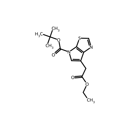 CCOC(=O)Cc1cn(C(=O)OC(C)(C)C)c2scnc12